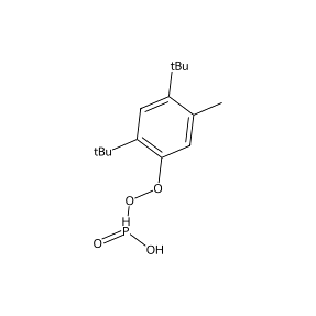 Cc1cc(OO[PH](=O)O)c(C(C)(C)C)cc1C(C)(C)C